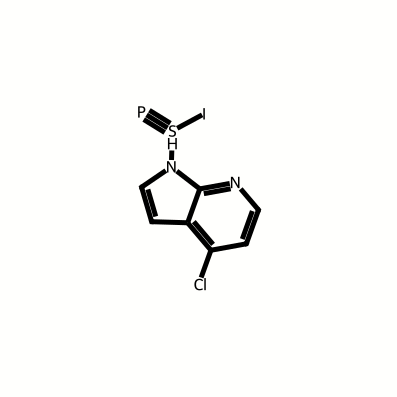 P#[SH](I)n1ccc2c(Cl)ccnc21